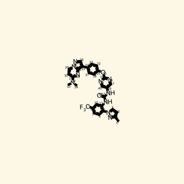 Cc1ccn(-c2ccc(C(F)(F)F)cc2NC(=O)Nc2cnc(Oc3ccc(-c4cnn5ccc(N(C)C)nc45)cc3)nc2)n1